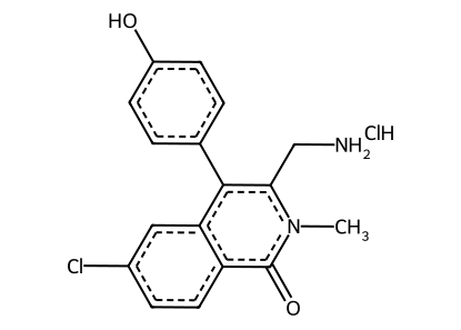 Cl.Cn1c(CN)c(-c2ccc(O)cc2)c2cc(Cl)ccc2c1=O